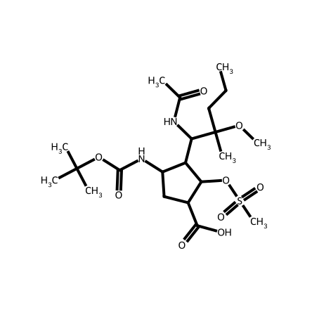 CCCC(C)(OC)C(NC(C)=O)C1C(NC(=O)OC(C)(C)C)CC(C(=O)O)C1OS(C)(=O)=O